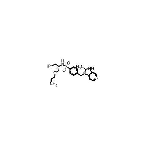 C=CCOC[C@H](CC(C)C)NS(=O)(=O)c1ccc(CN2c3ccncc3NC2C)cc1